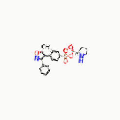 Cc1onc(-c2ccccc2)c1-c1ccc(S(=O)(=O)OC(=O)[C@@H]2CCCN2)cc1